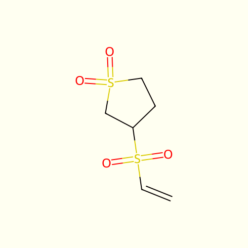 C=CS(=O)(=O)C1CCS(=O)(=O)C1